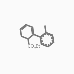 CCOC(=O)C1CC=CC=C1c1ccccc1C